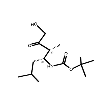 CC(C)C[C@@H](NC(=O)OC(C)(C)C)[C@@H](C)C(=O)CO